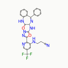 N#CCCNc1cc(C(F)(F)F)cnc1-c1nnc(NC2N=C(c3ccccc3)c3ccccc3NC2=O)o1